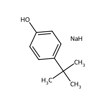 CC(C)(C)c1ccc(O)cc1.[NaH]